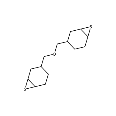 C1CC2SC2CC1COCC1CCC2SC2C1